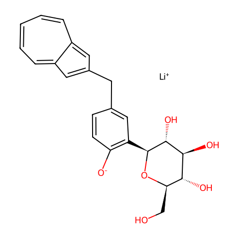 [Li+].[O-]c1ccc(Cc2cc3cccccc-3c2)cc1[C@@H]1O[C@H](CO)[C@@H](O)[C@H](O)[C@H]1O